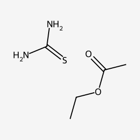 CCOC(C)=O.NC(N)=S